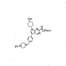 CCC[C@@H](C)Nc1ncc2c(-c3ccc(CN4CCN(C(C)C)CC4)cc3)cn([C@H]3CC[C@H](O)CC3)c2n1